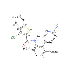 COc1ccc(C)c(N(Cc2cccc(C)n2)C(=O)c2sc3ccccc3c2Cl)c1